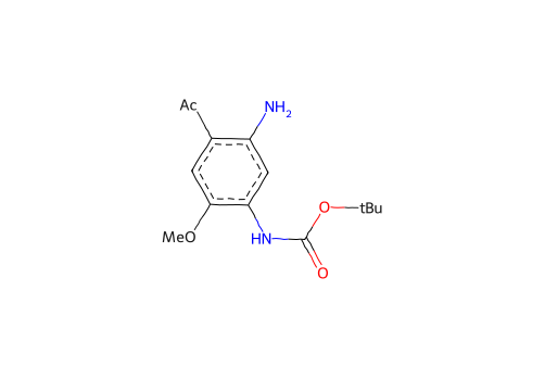 COc1cc(C(C)=O)c(N)cc1NC(=O)OC(C)(C)C